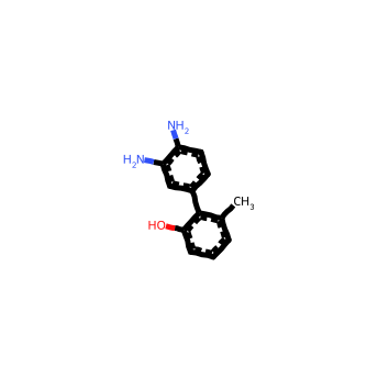 Cc1cccc(O)c1-c1ccc(N)c(N)c1